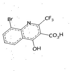 O=C(O)c1c(C(F)(F)F)nc2c(Br)cccc2c1O